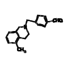 Cc1cccc2c1CCN(Cc1ccc(C=O)cc1)C2